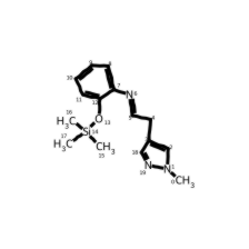 Cn1cc(CC=Nc2ccccc2O[Si](C)(C)C)cn1